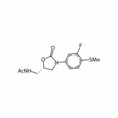 CSc1ccc(N2C[C@H](CNC(C)=O)OC2=O)cc1F